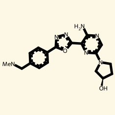 CNCc1ccc(-c2nnc(-c3nc(N4CC[C@@H](O)C4)cnc3N)o2)cc1